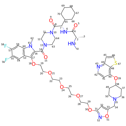 CN[C@@H](C)C(=O)N[C@H](C(=O)N1CCN(C(=O)c2c(OCCOCCOCCOCCOc3cc(CN4CCC(Oc5ccnc6ccsc56)CC4)on3)c3cc(F)c(F)cc3n2C)CC1)C1CCCCC1